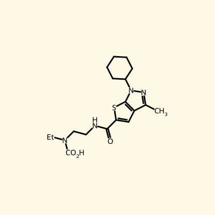 CCN(CCNC(=O)c1cc2c(C)nn(C3CCCCC3)c2s1)C(=O)O